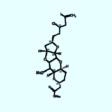 C=C(I)C[C@H](Cl)CC[C@@H]1C[C@H]2OC3C(OC)[C@H]4O[C@@H](CC(=O)OC)CC[C@@H]4OC3[C@H]2O1